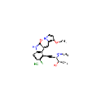 CN[C@H](C#Cc1c(F)ccc2c1C(=Cc1[nH]ccc1OC)C(=O)N2)[C@@H](C)O.Cl